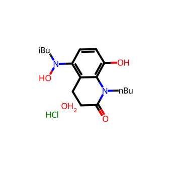 CCCCN1C(=O)CCc2c(N(O)C(C)CC)ccc(O)c21.Cl.O